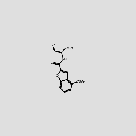 COc1cccc2oc(C(=O)N[C@@H](CC(C)C)C(=O)O)cc12